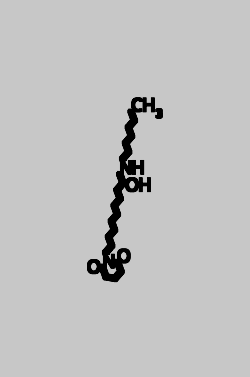 CCCCCCCCNCC(O)CCCCCCCCCN1C(=O)CCCC1=O